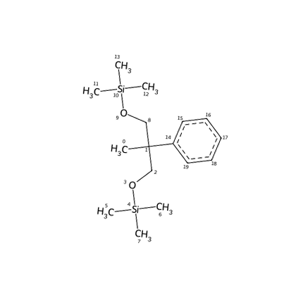 CC(CO[Si](C)(C)C)(CO[Si](C)(C)C)c1ccccc1